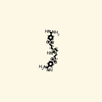 N=C(N)c1ccc(S(=O)(=O)CCCn2ccn(CCCS(=O)(=O)c3ccc(C(=N)N)cc3)c2=N)cc1